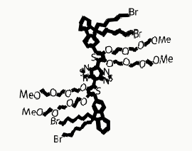 COCCOCCOCCOc1c(-c2ccc3c(c2)C(CCCCCCBr)(CCCCCCBr)c2ccccc2-3)sc(-c2c3c(c(-c4sc(-c5ccc6c(c5)C(CCCCCCBr)(CCCCCCBr)c5ccccc5-6)c(OCCOCCOCCOC)c4OCCOCCOCCOC)c4nsnc24)N=S=N3)c1OCCOCCOCCOC